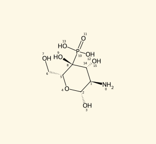 N[C@H]1[C@H](O)O[C@H](CO)[C@](O)(P(=O)(O)O)[C@@H]1O